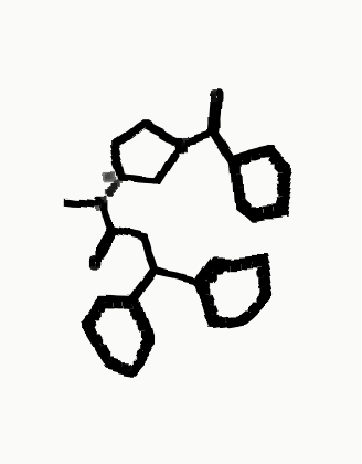 CN(C(=O)CC(c1ccccc1)c1ccccc1)[C@@H]1CCN(C(=O)c2ccccc2)C1